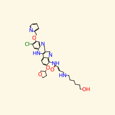 N#Cc1cnc2c(NC(=O)/C=C/CNCCCCCCO)c(O[C@H]3CCOC3)ccc2c1Nc1ccc(OCc2ccccn2)c(Cl)c1